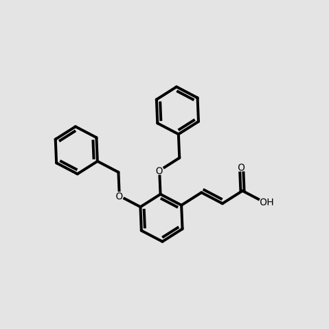 O=C(O)C=Cc1cccc(OCc2ccccc2)c1OCc1ccccc1